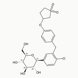 O=S1(=O)CCC(Oc2ccc(Cc3cc([C@@H]4O[C@H](CO)[C@@H](O)[C@H](O)[C@H]4O)ccc3Cl)cc2)C1